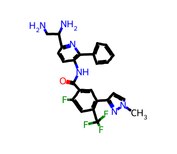 Cn1ccc(-c2cc(C(=O)Nc3ccc(C(N)CN)nc3-c3ccccc3)c(F)cc2C(F)(F)F)n1